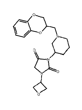 O=C1CN(C2COC2)C(=O)N1C1CCCN(CC2COc3ccccc3O2)C1